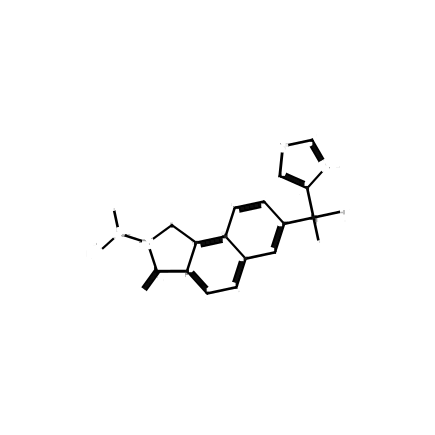 CC(C)C(O)(c1ccc2c3c(ccc2c1)C(=O)N(N(C)C)C3)c1c[nH]cn1